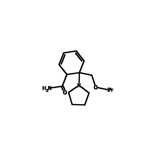 CC(C)OCC1(N2CCCC2)C=CC=CC1C(N)=O